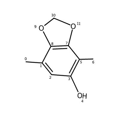 Cc1cc(O)c(C)c2c1OCO2